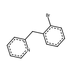 Brc1ccccc1Cc1ccccn1